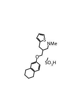 CNCC(COc1ccc2c(c1)CCCC2)Cc1cccs1.CS(=O)(=O)O